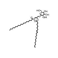 CCCCCCCCCCCCCCCCCC(=O)OCC(COC1O[C@@H](CO)[C@H](O)[C@@H](O)[C@@H]1O)OC(=O)CCCCCCCCCCCCCCCCC